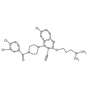 CN(C)CCCOc1nc2ccc(Cl)cc2c(N2CCN(C(=O)c3ccc(Cl)c(Cl)c3)CC2)c1C#N